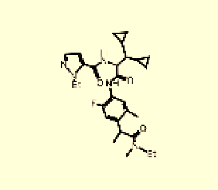 CCN(C)C(=O)C(C)c1cc(F)c(NC(=O)[C@@H](NC(=O)c2ccnn2CC)C(C2CC2)C2CC2)cc1C